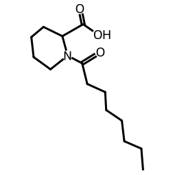 CCCCCCCC(=O)N1CCCCC1C(=O)O